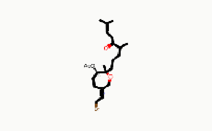 CC(=O)O[C@@H]1CC/C(=C\CBr)COC1(C)CCCC(C)C(=O)CC=C(C)C